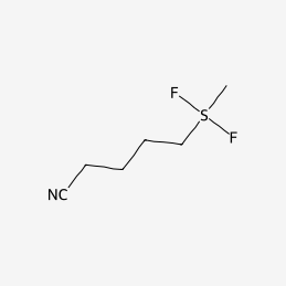 CS(F)(F)CCCCC#N